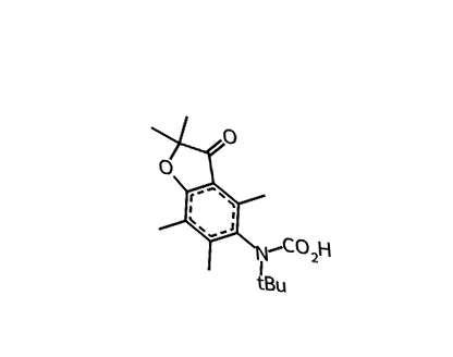 Cc1c(C)c(N(C(=O)O)C(C)(C)C)c(C)c2c1OC(C)(C)C2=O